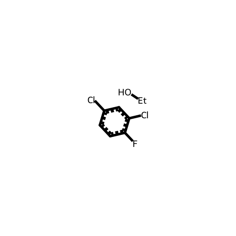 CCO.Fc1ccc(Cl)cc1Cl